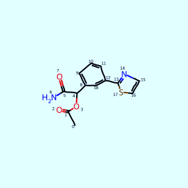 CC(=O)OC(C(N)=O)c1cccc(-c2nccs2)c1